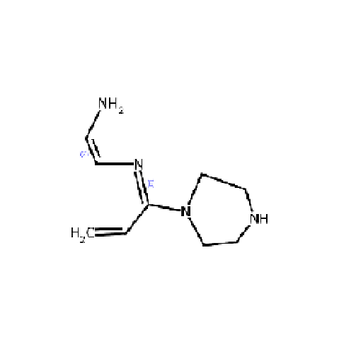 C=C/C(=N\C=C/N)N1CCNCC1